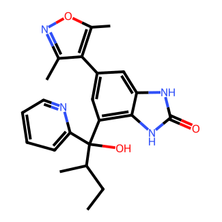 CCC(C)C(O)(c1ccccn1)c1cc(-c2c(C)noc2C)cc2[nH]c(=O)[nH]c12